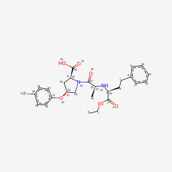 CCOC(=O)[C@H](CCc1ccccc1)N[C@@H](C)C(=O)N1C[C@@H](Oc2ccc(F)cc2)C[C@H]1C(=O)O